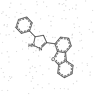 c1ccc(C2CC(c3cccc4c3oc3ccccc34)=NN2)cc1